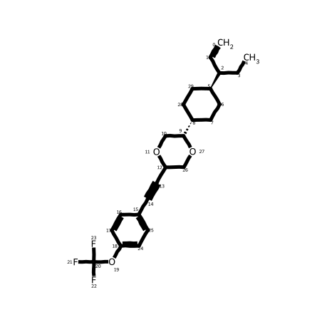 C=CC(CC)[C@H]1CC[C@H](C2COC(C#Cc3ccc(OC(F)(F)F)cc3)CO2)CC1